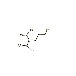 CN(C)[C@H](CCCN)C(=O)O